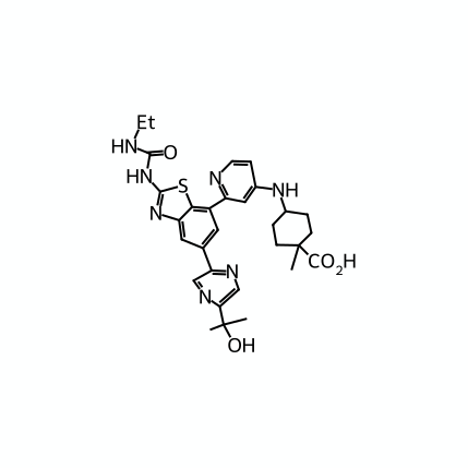 CCNC(=O)Nc1nc2cc(-c3cnc(C(C)(C)O)cn3)cc(-c3cc(NC4CCC(C)(C(=O)O)CC4)ccn3)c2s1